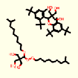 CC(C)CCCCCCCOOC(OCCCCCCCC(C)C)C(CO)(CO)CO.Cc1cc(C(C)(C)C)cc(C(C)(C)C)c1OC(c1c(C)cc(C(C)(C)C)cc1C(C)(C)C)C(CO)(CO)CO